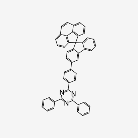 c1ccc(-c2nc(-c3ccccc3)nc(-c3ccc(-c4ccc5c(c4)-c4ccccc4C54c5cccc6ccc7cccc4c7c56)cc3)n2)cc1